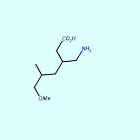 COCC(C)CC(CN)CC(=O)O